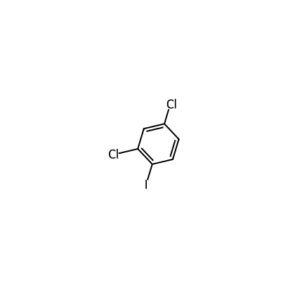 Clc1ccc(I)c(Cl)c1